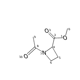 COC(=O)C1CCN1C(C)=O